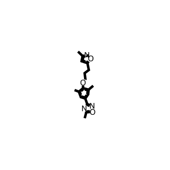 Cc1cc(CCCOc2c(C)cc(-c3noc(C)n3)cc2C)on1